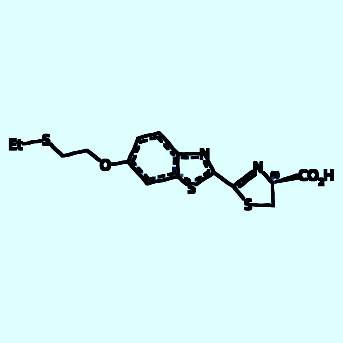 CCSCCOc1ccc2nc(C3=N[C@@H](C(=O)O)CS3)sc2c1